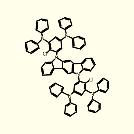 Clc1c(N(c2ccccc2)c2ccccc2)cc(N(c2ccccc2)c2ccccc2)cc1-n1c2ccccc2c2cc3c(cc21)c1ccccc1n3-c1cc(N(c2ccccc2)c2ccccc2)cc(N(c2ccccc2)c2ccccc2)c1Cl